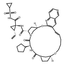 C=C[C@@H]1C[C@]1(NC(=O)[C@@H]1C[C@@H]2CN1C(=O)[C@H](C1CCCC1)NC(=O)N1CC[C@@H](C1)OCCC/C=C/c1cc3cnccc3nc1O2)C(=O)NS(=O)(=O)C1CC1